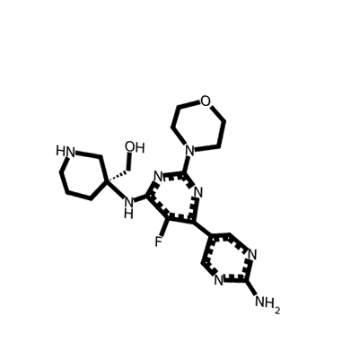 Nc1ncc(-c2nc(N3CCOCC3)nc(N[C@@]3(CO)CCCNC3)c2F)cn1